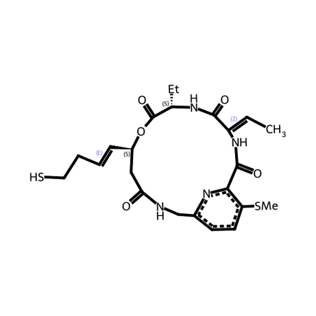 C/C=C1\NC(=O)c2nc(ccc2SC)CNC(=O)C[C@@H](/C=C/CCS)OC(=O)[C@H](CC)NC1=O